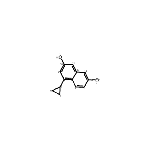 CCc1ccc2c(C3CC3)cc(O)cc2c1